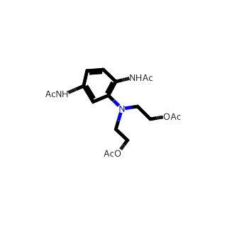 CC(=O)Nc1ccc(NC(C)=O)c(N(CCOC(C)=O)CCOC(C)=O)c1